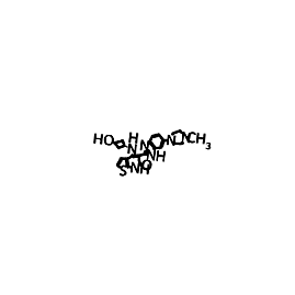 CN1CCN(c2ccc3nc(-c4c(N[C@H]5C[C@@H](O)C5)c5ccsc5[nH]c4=O)[nH]c3c2)CC1